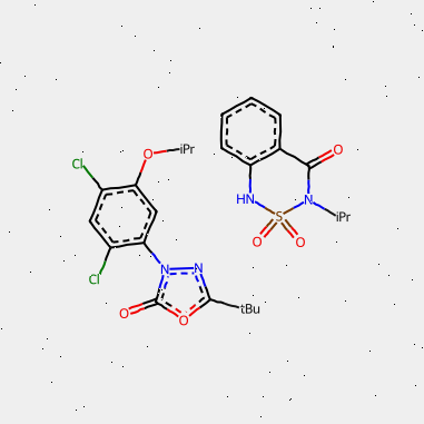 CC(C)N1C(=O)c2ccccc2NS1(=O)=O.CC(C)Oc1cc(-n2nc(C(C)(C)C)oc2=O)c(Cl)cc1Cl